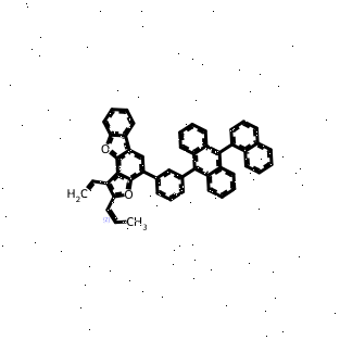 C=Cc1c(/C=C\C)oc2c(-c3cccc(-c4c5ccccc5c(-c5cccc6ccccc56)c5ccccc45)c3)cc3c4ccccc4oc3c12